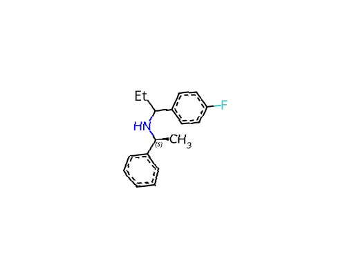 CCC(N[C@@H](C)c1ccccc1)c1ccc(F)cc1